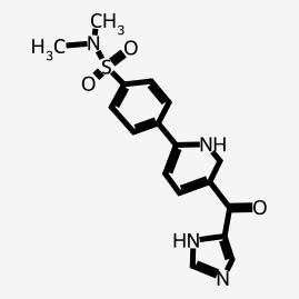 CN(C)S(=O)(=O)c1ccc(C2=CC=C(C(=O)c3cnc[nH]3)CN2)cc1